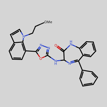 COCCn1ccc2cccc(-c3nnc(NC4N=C(c5ccccc5)c5ccccc5NC4=O)o3)c21